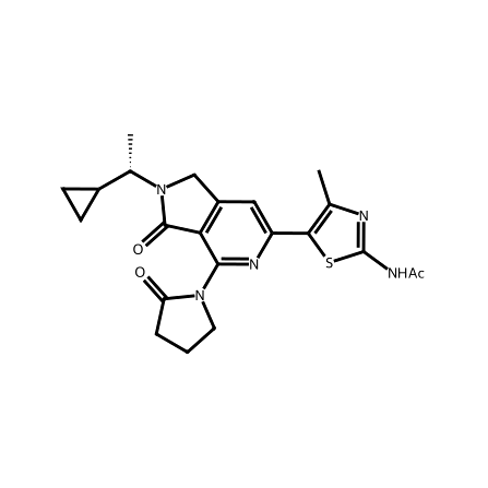 CC(=O)Nc1nc(C)c(-c2cc3c(c(N4CCCC4=O)n2)C(=O)N([C@@H](C)C2CC2)C3)s1